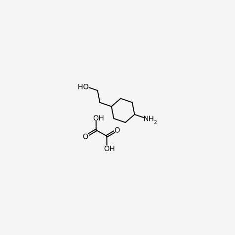 NC1CCC(CCO)CC1.O=C(O)C(=O)O